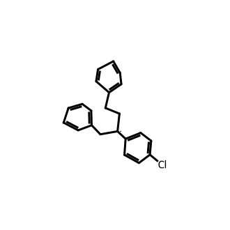 Clc1ccc([C](CCc2ccccc2)Cc2ccccc2)cc1